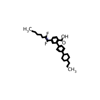 CCCCCC/C(F)=C(\F)c1ccc(C(=O)O)c(-c2ccc(C3CCC(CCC)CC3)cc2)c1